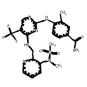 Cc1cc(C(N)=O)ccc1Nc1ncc(C(F)(F)F)c(NCc2ncccc2N(C)S(C)(=O)=O)n1